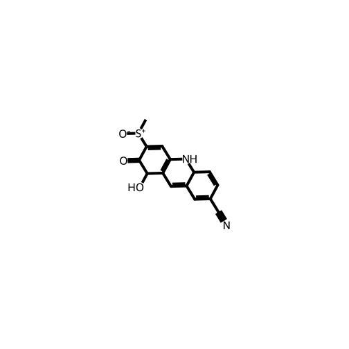 C[S+]([O-])C1=CC2=C(C=C3C=C(C#N)C=CC3N2)C(O)C1=O